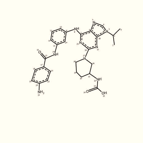 CC(C)n1cnc2c(Nc3cccc(NC(=O)c4ccc(N)cc4)c3)nc(N3CCCC(NC(=O)O)C3)nc21